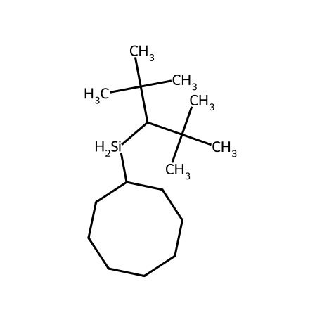 CC(C)(C)C([SiH2]C1CCCCCCC1)C(C)(C)C